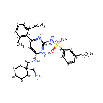 Cc1cccc(C)c1-c1cc(NCC2(CN)CCCCC2)nc(NS(=O)(=O)c2cccc(C(=O)O)c2)n1